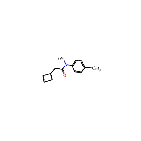 CCCN(C(=O)CC1CCC1)c1ccc(C)cc1